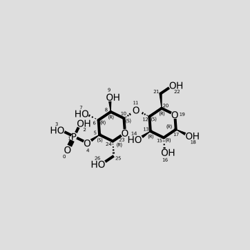 O=P(O)(O)O[C@H]1[C@H](O)[C@@H](O)[C@H](O[C@H]2[C@H](O)[C@@H](O)[C@H](O)O[C@@H]2CO)O[C@@H]1CO